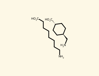 NCCCCCCCC(=O)O.NC[C@H]1CC[C@H](C(=O)O)CC1